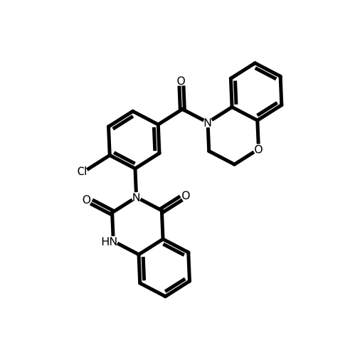 O=C(c1ccc(Cl)c(-n2c(=O)[nH]c3ccccc3c2=O)c1)N1CCOc2ccccc21